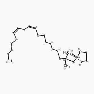 CCCCC/C=C\C/C=C\CCCCCCCC(C)(C)CP1(=O)OCCO1